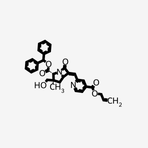 C=CCOC(=O)c1ccnc(/C=C2/C(=O)N3C2C[C@@](C)(CO)[C@@H]3C(=O)OC(c2ccccc2)c2ccccc2)c1